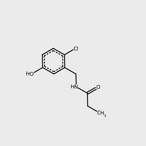 CCC(=O)NCc1cc(O)ccc1Cl